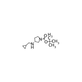 CC(C)(C)OC(=O)N1CC[C@@H](NCC2CC2)C1